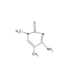 Cc1cn(C)c(=S)nc1N